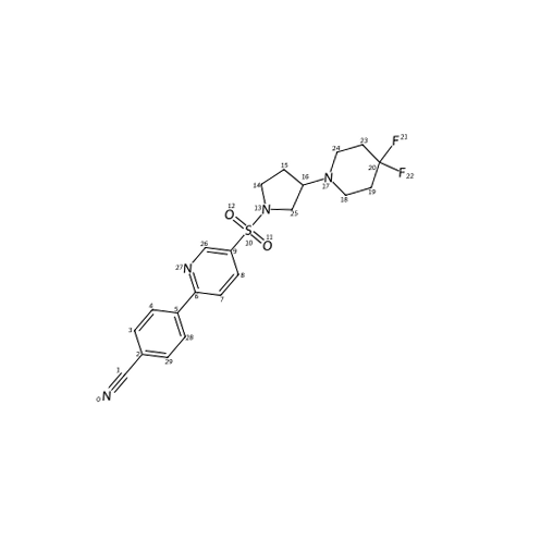 N#Cc1ccc(-c2ccc(S(=O)(=O)N3CCC(N4CCC(F)(F)CC4)C3)cn2)cc1